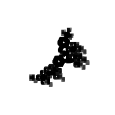 CN(C(=O)OC(C)(C)C)S(=O)(=O)c1ccc(N(Cc2ccc(C(F)(F)F)cc2)C(=O)OC(C)(C)C)c(C#C[Si](C)(C)C)c1